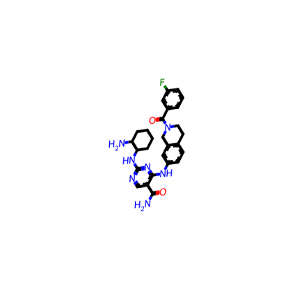 NC(=O)c1cnc(NC2CCCCC2N)nc1Nc1ccc2c(c1)CN(C(=O)c1cccc(F)c1)CC2